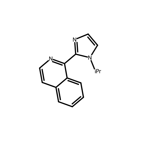 CC(C)n1ccnc1-c1nccc2ccccc12